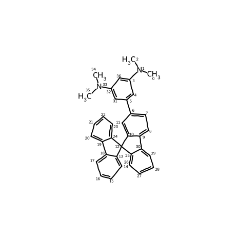 CN(C)c1cc(-c2ccc3c(c2)C2(c4ccccc4-c4ccccc42)c2ccccc2-3)cc(N(C)C)c1